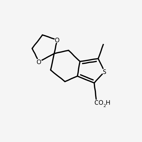 Cc1sc(C(=O)O)c2c1CC1(CC2)OCCO1